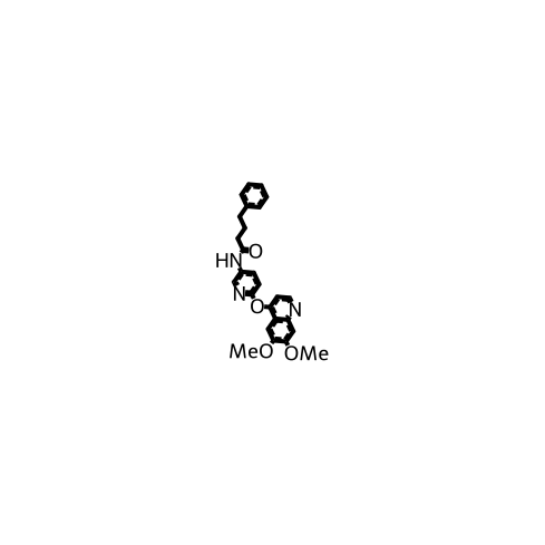 COc1cc2nccc(Oc3ccc(NC(=O)CCCc4ccccc4)cn3)c2cc1OC